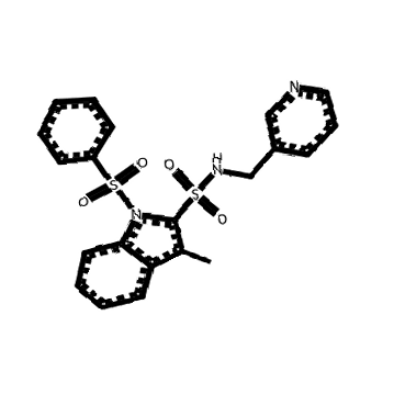 Cc1c(S(=O)(=O)NCc2cccnc2)n(S(=O)(=O)c2ccccc2)c2ccccc12